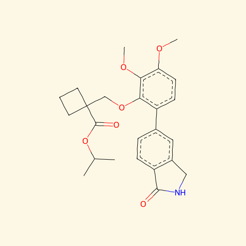 COc1ccc(-c2ccc3c(c2)CNC3=O)c(OCC2(C(=O)OC(C)C)CCC2)c1OC